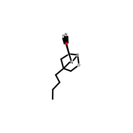 CCCCC12COB(N(C#N)C1)N(C#N)C2